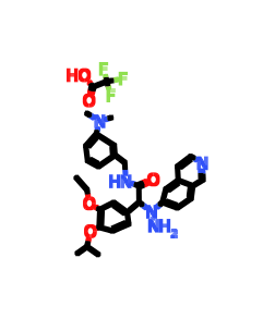 CCOc1cc(C(C(=O)NCc2cccc(N(C)C)c2)N(N)c2ccc3cnccc3c2)ccc1OC(C)C.O=C(O)C(F)(F)F